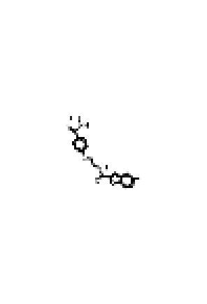 Cc1ccc2sc(C(=O)NCCOc3ccc(C(=S)NO)cc3)cc2c1